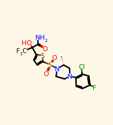 C[C@@H]1CN(c2ccc(F)cc2Cl)CCN1S(=O)(=O)c1ccc(C(O)(C(N)=O)C(F)(F)F)s1